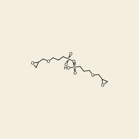 O=S(=O)(CCCOCC1CO1)O[SH](=O)(O)CCCOCC1CO1